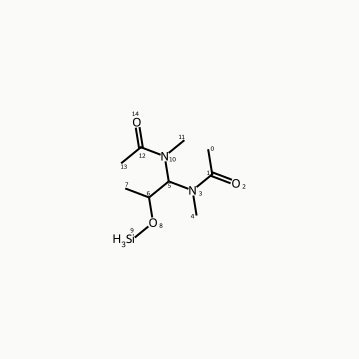 CC(=O)N(C)C(C(C)O[SiH3])N(C)C(C)=O